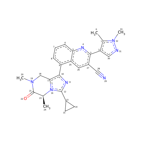 Cc1c(-c2nc3cccc(-c4nc(C5CC5)n5c4CN(C)C(=O)[C@@H]5C)c3cc2C#N)cnn1C